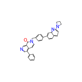 O=c1c2cncc(-c3ccccc3)c2ccn1Cc1ccc(-c2ccc3ccc(N4CCC4)nc3c2)cc1